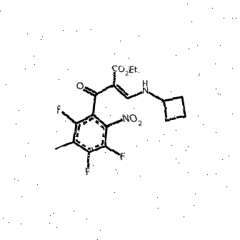 CCOC(=O)C(=CNC1CCC1)C(=O)c1c(F)c(C)c(F)c(F)c1[N+](=O)[O-]